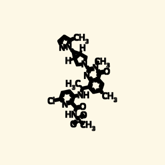 Cc1cc([C@@H](C)Nc2ccc(Cl)nc2C(=O)NS(C)(=O)=O)c2nc(N3C[C@@H]4C(n5nccc5C)[C@@H]4C3)n(C)c(=O)c2c1